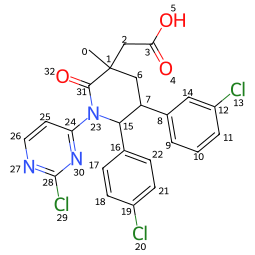 CC1(CC(=O)O)CC(c2cccc(Cl)c2)C(c2ccc(Cl)cc2)N(c2ccnc(Cl)n2)C1=O